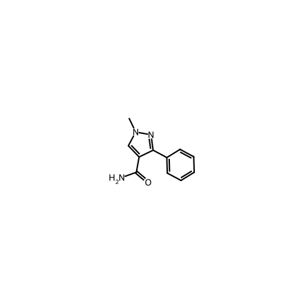 Cn1cc(C(N)=O)c(-c2ccccc2)n1